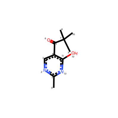 Cc1ncc(C(=O)C(C)(C)C)c(O)n1